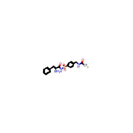 N[C@@H](Cc1ccccc1)C(=O)NS(=O)(=O)c1ccc(CNC(=O)C(F)(F)F)cc1